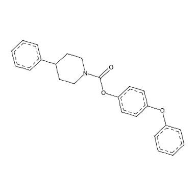 O=C(Oc1ccc(Oc2ccccc2)cc1)N1CCC(c2ccccc2)CC1